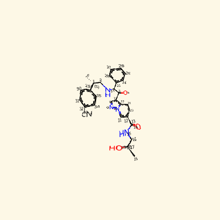 C[C@H](CNC(C(=O)c1cnn2cc(C(=O)NC[C@@H](C)O)ccc12)c1ccccc1)c1ccc(C#N)cc1